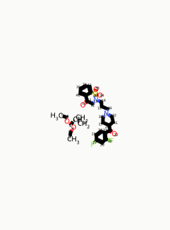 C=C.CCOC(C)OCC.O=C1CN(CCCN2CCC(C(=O)c3ccc(F)cc3F)CC2)S(=O)(=O)c2ccccc21